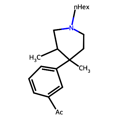 CCCCCCN1CCC(C)(c2cccc(C(C)=O)c2)C(C)C1